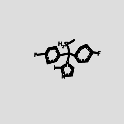 C[SiH2]C(c1ccc(F)cc1)(c1ccc(F)cc1)n1ccnc1I